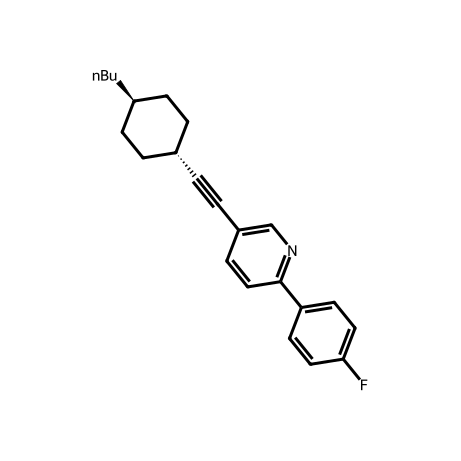 CCCC[C@H]1CC[C@H](C#Cc2ccc(-c3ccc(F)cc3)nc2)CC1